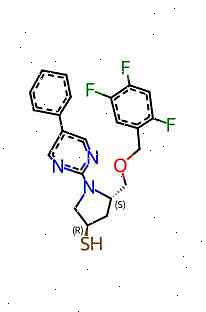 Fc1cc(F)c(COC[C@@H]2C[C@@H](S)CN2c2ncc(-c3ccccc3)cn2)cc1F